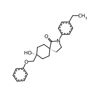 CCc1ccc(N2CC[C@]3(CC[C@](O)(COc4ccccc4)CC3)C2=O)cc1